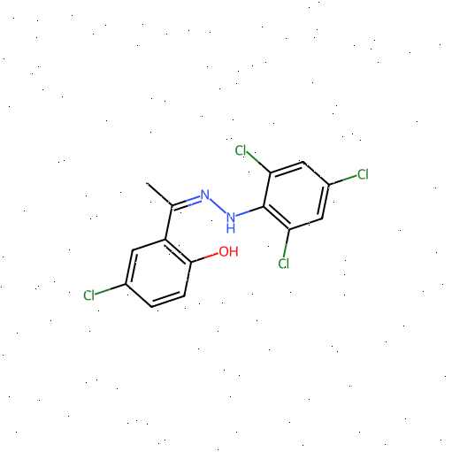 C/C(=N/Nc1c(Cl)cc(Cl)cc1Cl)c1cc(Cl)ccc1O